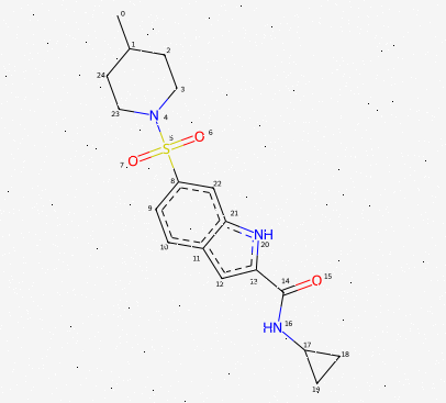 CC1CCN(S(=O)(=O)c2ccc3cc(C(=O)NC4CC4)[nH]c3c2)CC1